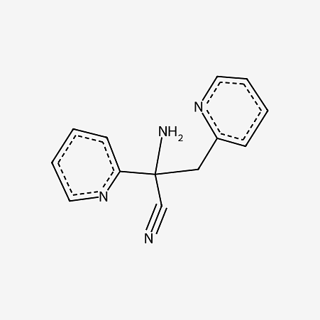 N#CC(N)(Cc1ccccn1)c1ccccn1